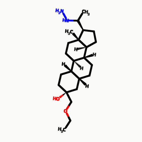 CCOC[C@@]1(O)CC[C@H]2[C@H](CC[C@@H]3[C@@H]2CC[C@]2(C)[C@@H](C(C)NN)CC[C@@H]32)C1